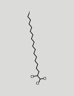 ClC(Cl)C(Cl)CCCCCCCCCCCCCCCCI